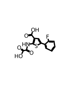 O=C(O)C(=O)Nc1sc(-c2ccccc2F)cc1C(=O)O